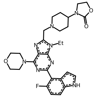 CCn1c(CN2CCC(N3CCOC3=O)CC2)nc2c(N3CCOCC3)nc(-c3c(F)ccc4[nH]ccc34)nc21